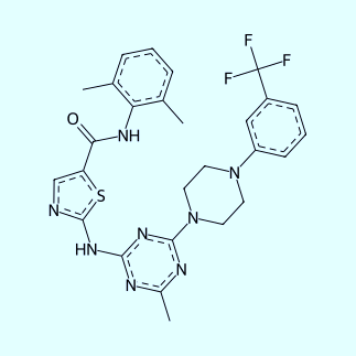 Cc1nc(Nc2ncc(C(=O)Nc3c(C)cccc3C)s2)nc(N2CCN(c3cccc(C(F)(F)F)c3)CC2)n1